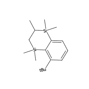 CC1C[Si](C)(C)c2c(C(C)(C)C)cccc2[Si]1(C)C